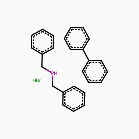 Br.c1ccc(-c2ccccc2)cc1.c1ccc(CPCc2ccccc2)cc1